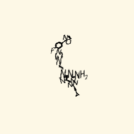 Nc1nc2c(ncn2CCN2CCN(c3cc(-c4ncco4)ccc3F)CC2)c2nc(C#CC3CC3)nn12